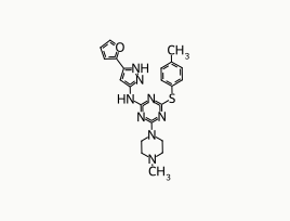 Cc1ccc(Sc2nc(Nc3cc(-c4ccco4)[nH]n3)nc(N3CCN(C)CC3)n2)cc1